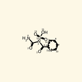 NC(=O)N(C(=O)c1ccccn1)S(=O)(=O)O